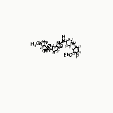 CCOc1cc(CN2CCC(Nc3nc4cc(NS(=O)(=O)c5cn(C)cn5)ccc4o3)CC2)ccc1F